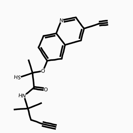 C#CCC(C)(C)NC(=O)C(C)(S)Oc1ccc2ncc(C#C)cc2c1